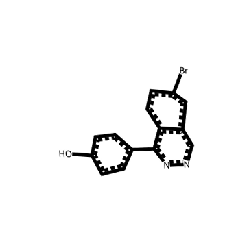 Oc1ccc(-c2nncc3cc(Br)ccc23)cc1